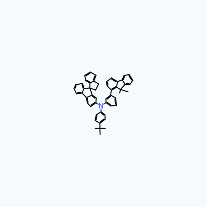 CC(C)(C)c1ccc(N(c2cccc(-c3cccc4c3C(C)(C)c3ccccc3-4)c2)c2ccc3c(c2)C2(CCc4ccccc42)c2ccccc2-3)cc1